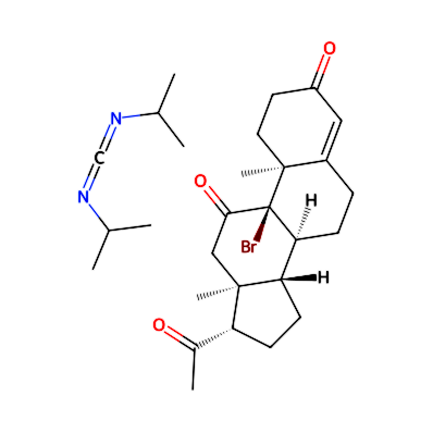 CC(=O)[C@H]1CC[C@H]2[C@@H]3CCC4=CC(=O)CC[C@]4(C)[C@@]3(Br)C(=O)C[C@]12C.CC(C)N=C=NC(C)C